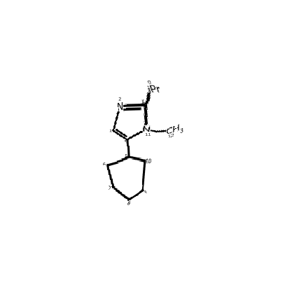 CC(C)c1ncc(C2CCCCC2)n1C